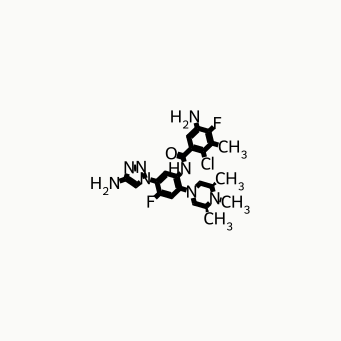 Cc1c(F)c(N)cc(C(=O)Nc2cc(-n3cc(N)nn3)c(F)cc2N2C[C@@H](C)N(C)[C@@H](C)C2)c1Cl